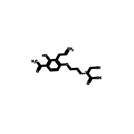 C=CCc1c(OCCC[C@H](CS)C(=O)O)ccc(C(C)=O)c1O